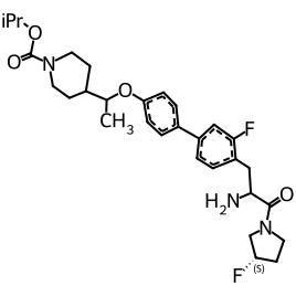 CC(C)OC(=O)N1CCC(C(C)Oc2ccc(-c3ccc(CC(N)C(=O)N4CC[C@H](F)C4)c(F)c3)cc2)CC1